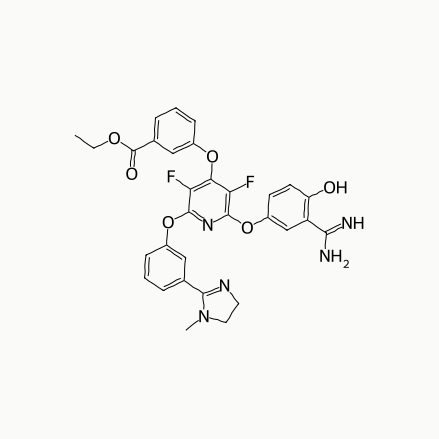 CCOC(=O)c1cccc(Oc2c(F)c(Oc3cccc(C4=NCCN4C)c3)nc(Oc3ccc(O)c(C(=N)N)c3)c2F)c1